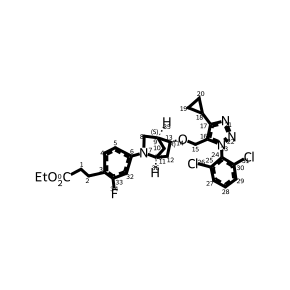 CCOC(=O)CCc1ccc(N2C[C@@H]3C[C@H]2C[C@H]3OCc2c(C3CC3)nnn2-c2c(Cl)cccc2Cl)cc1F